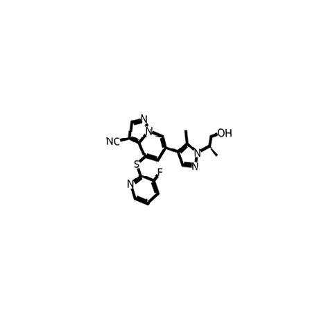 Cc1c(-c2cc(Sc3ncccc3F)c3c(C#N)cnn3c2)cnn1[C@H](C)CO